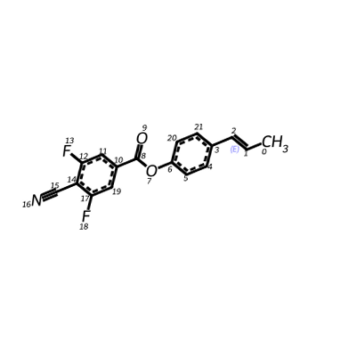 C/C=C/c1ccc(OC(=O)c2cc(F)c(C#N)c(F)c2)cc1